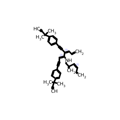 C#CC(C)(C)c1ccc(C#C/C=C(NCC(=C)/C=C\C=C)/C(C#Cc2ccc(C(C)(C)C#C)cc2)=C\C=C)cc1